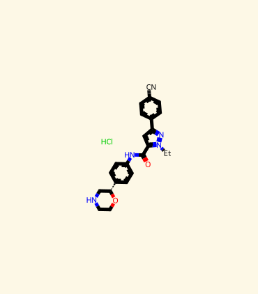 CCn1nc(-c2ccc(C#N)cc2)cc1C(=O)Nc1ccc([C@H]2CNCCO2)cc1.Cl